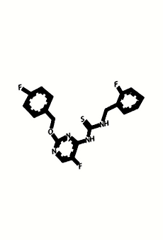 Fc1ccc(COc2ncc(F)c(NC(=S)NCc3ccccc3F)n2)cc1